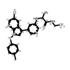 Cc1ccc(Sn2cc(-c3cncc(NC(C(=O)NCC(F)(F)F)C(C)C)c3)c3cc(Cl)cnc32)cc1